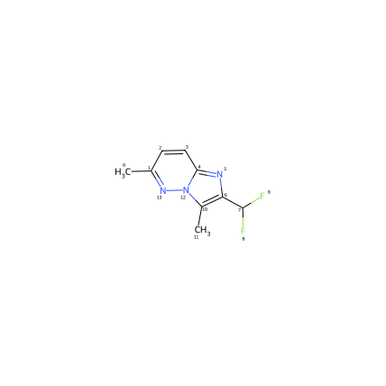 Cc1ccc2nc(C(F)F)c(C)n2n1